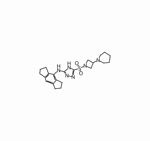 O=S(=O)(c1nnc(Nc2c3c(cc4c2CCC4)CCC3)[nH]1)N1CC(N2CCCCC2)C1